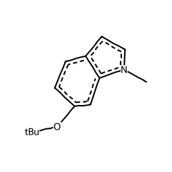 Cn1ccc2ccc(OC(C)(C)C)cc21